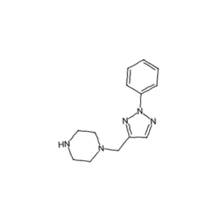 c1ccc(-n2ncc(CN3CCNCC3)n2)cc1